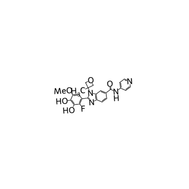 COc1cc(-c2nc3ccc(C(=O)Nc4ccncc4)cc3n2C2(C)COC2)c(F)c(O)c1O